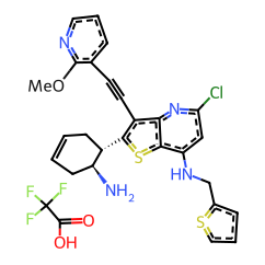 COc1ncccc1C#Cc1c([C@H]2CC=CC[C@@H]2N)sc2c(NCc3cccs3)cc(Cl)nc12.O=C(O)C(F)(F)F